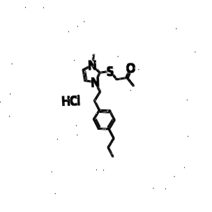 CCCc1ccc(CCN2C=CN(C)C2SCC(C)=O)cc1.Cl